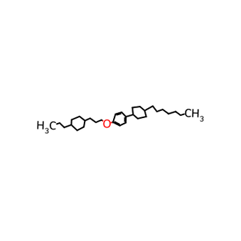 CCCCCCCC1CCC(c2ccc(OCCCC3CCC(CCC)CC3)cc2)CC1